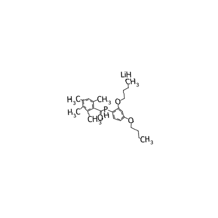 CCCCOc1ccc(PC(=O)c2c(C)cc(C)c(C)c2C)c(OCCCC)c1.[LiH]